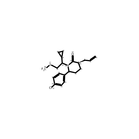 C=CC[C@H]1CCC(c2ccc(Cl)cc2)N(C(CSC(F)(F)F)C2CC2)C1=O